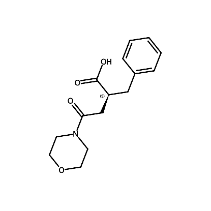 O=C(O)[C@H](CC(=O)N1CCOCC1)Cc1ccccc1